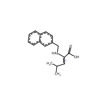 CC(C)/C=C(\[AsH]Cc1ccc2ccccc2c1)C(=O)O